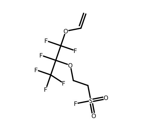 C=COC(F)(F)C(F)(OCCS(=O)(=O)F)C(F)(F)F